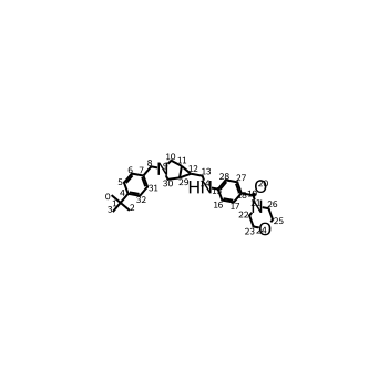 CC(C)(C)c1ccc(CN2CC3C(CNc4ccc(C(=O)N5CCOCC5)cc4)C3C2)cc1